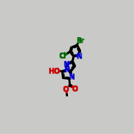 COC(=O)c1cc(O)n2nc(-c3ncc(Br)cc3Cl)cc2n1